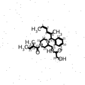 C/C=C\C=C(/C)C(c1ccccc1)N1CCN(C(=O)/C(C)=C/C)CC1CNC(=O)CO